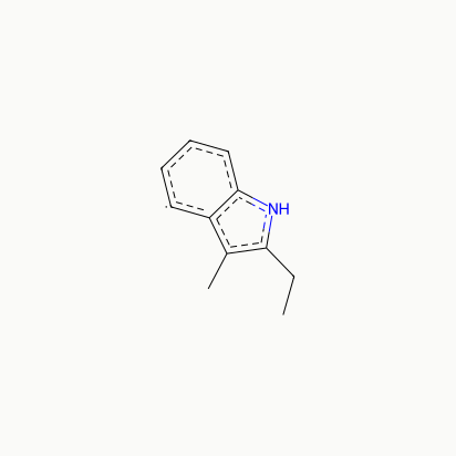 CCc1[nH]c2ccc[c]c2c1C